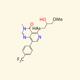 COCC(O)C[AsH]c1ncc(-c2ccc(C(F)(F)F)cc2)c2ncn(C)c(=O)c12